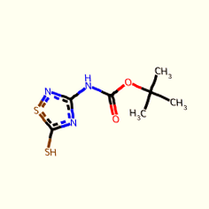 CC(C)(C)OC(=O)Nc1nsc(S)n1